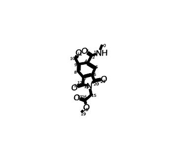 CNC(=O)c1cc2c(cc1C=O)C(=O)N(CC(=O)OC)C2=O